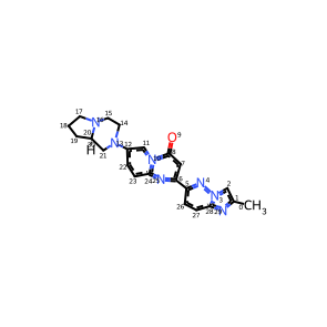 Cc1cn2nc(-c3cc(=O)n4cc(N5CCN6CCC[C@@H]6C5)ccc4n3)ccc2n1